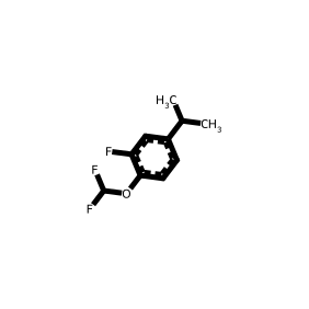 C[C](C)c1ccc(OC(F)F)c(F)c1